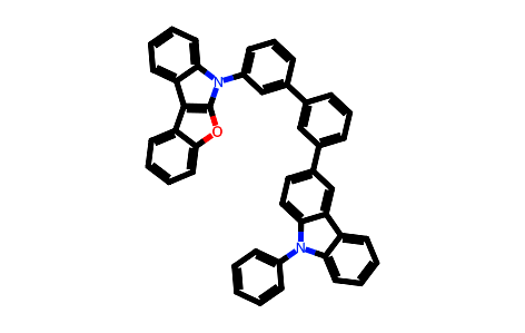 c1ccc(-n2c3ccccc3c3cc(-c4cccc(-c5cccc(-n6c7ccccc7c7c8ccccc8oc76)c5)c4)ccc32)cc1